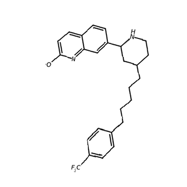 [O]c1ccc2ccc(C3CC(CCCCCc4ccc(C(F)(F)F)cc4)CCN3)cc2n1